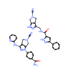 N#CN1Cc2[nH]nc(CNC(=O)c3cc(-c4ccccc4)n[nH]3)c2C1.N#CN1Cc2c(Nc3ccccn3)nn(-c3ccc(C(N)=O)cc3)c2C1